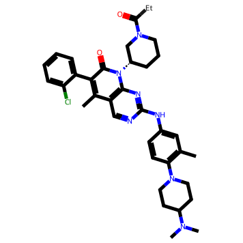 CCC(=O)N1CCC[C@H](n2c(=O)c(-c3ccccc3Cl)c(C)c3cnc(Nc4ccc(N5CCC(N(C)C)CC5)c(C)c4)nc32)C1